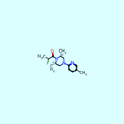 Cc1ccc(N2C[C@@H](C)N(C(=O)C(C)F)[C@@H](C)C2)nc1